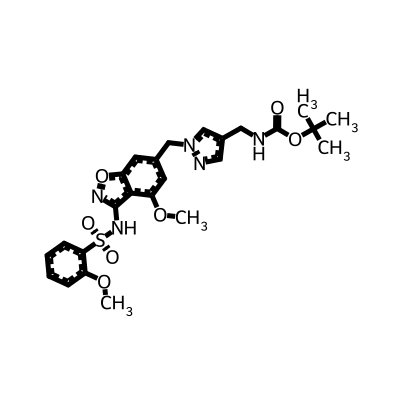 COc1ccccc1S(=O)(=O)Nc1noc2cc(Cn3cc(CNC(=O)OC(C)(C)C)cn3)cc(OC)c12